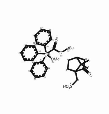 CC1(C)C2CCC1(CS(=O)(=O)O)C(=O)C2.CO[SH](C(=O)OC(C)(C)C)(c1ccccc1)(c1ccccc1)c1ccccc1